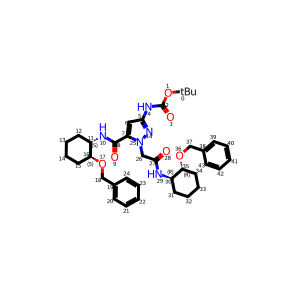 CC(C)(C)OC(=O)Nc1cc(C(=O)N[C@H]2CCCC[C@@H]2OCc2ccccc2)n(CC(=O)N[C@@H]2CCCC[C@H]2OCc2ccccc2)n1